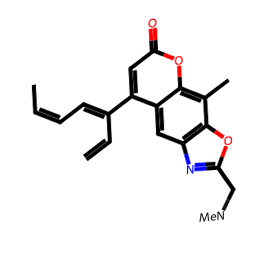 C=C/C(=C\C=C/C)c1cc(=O)oc2c(C)c3oc(CNC)nc3cc12